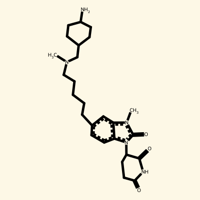 CN(CCCCCc1ccc2c(c1)n(C)c(=O)n2C1CCC(=O)NC1=O)CC1CCC(N)CC1